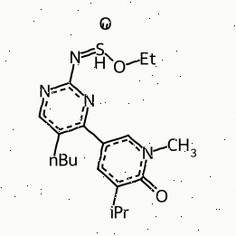 CCCCc1cnc(N=[SH](=O)OCC)nc1-c1cc(C(C)C)c(=O)n(C)c1